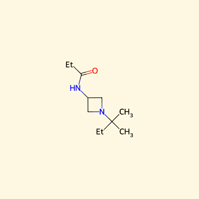 CCC(=O)NC1CN(C(C)(C)CC)C1